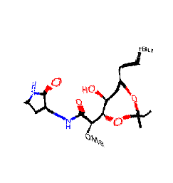 CO[C@@H](C(=O)NC1CCNC1=O)[C@@H]1OC(C)(C)O[C@H](C=CC(C)(C)C)[C@@H]1O